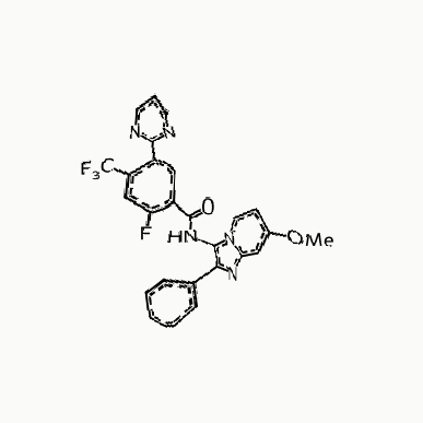 COc1ccn2c(NC(=O)c3cc(-c4ncccn4)c(C(F)(F)F)cc3F)c(-c3ccccc3)nc2c1